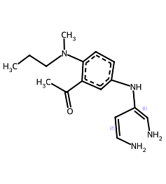 CCCN(C)c1ccc(NC(/C=C\N)=C/N)cc1C(C)=O